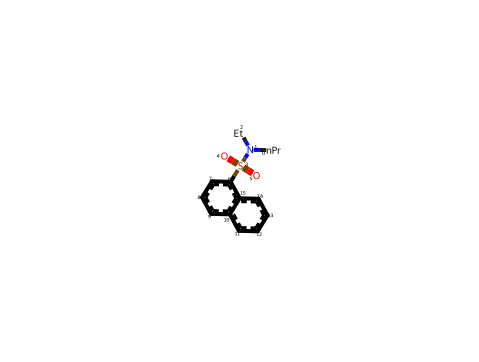 CCCN(CC)S(=O)(=O)c1cccc2ccccc12